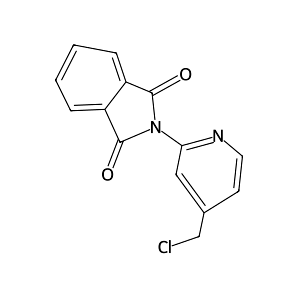 O=C1c2ccccc2C(=O)N1c1cc(CCl)ccn1